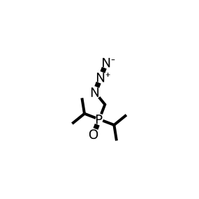 CC(C)P(=O)(CN=[N+]=[N-])C(C)C